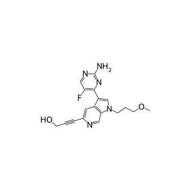 COCCCn1cc(-c2nc(N)ncc2F)c2cc(C#CCO)ncc21